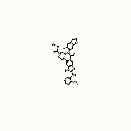 Cc1cc2cn[nH]c2cc1NC(=O)c1cc2nc(Nc3ccccc3C(F)(F)F)[nH]c2cc1N1CCN(C(=O)OC(C)(C)C)CC1